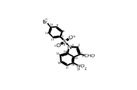 O=Cc1cn(S(=O)(=O)c2ccc(Br)cc2)c2cccc([N+](=O)[O-])c12